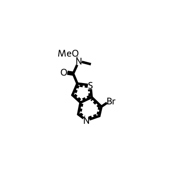 CON(C)C(=O)c1cc2cncc(Br)c2s1